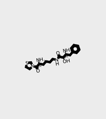 N[C@H](Cc1ccccc1)[C@H](O)C(=O)NCCCC[C@H](N)C(=O)N1CCSC1